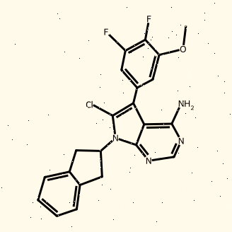 COc1cc(-c2c(Cl)n(C3Cc4ccccc4C3)c3ncnc(N)c23)cc(F)c1F